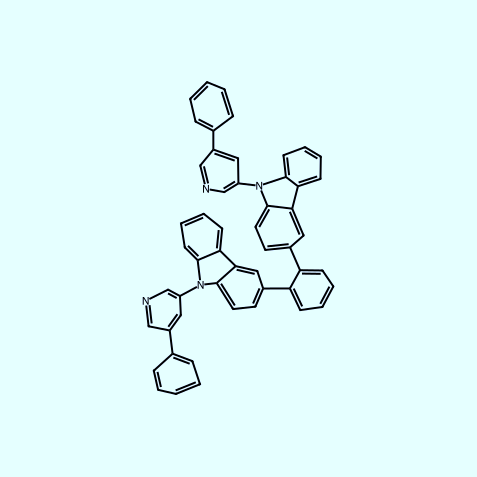 c1ccc(-c2cncc(-n3c4ccccc4c4cc(-c5ccccc5-c5ccc6c(c5)c5ccccc5n6-c5cncc(-c6ccccc6)c5)ccc43)c2)cc1